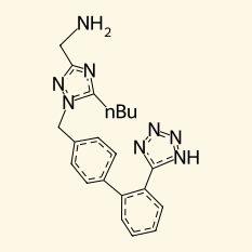 CCCCc1nc(CN)nn1Cc1ccc(-c2ccccc2-c2nnn[nH]2)cc1